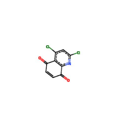 O=C1C=CC(=O)c2c(Cl)cc(Cl)nc21